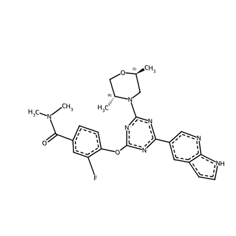 C[C@@H]1CO[C@@H](C)CN1c1nc(Oc2ccc(C(=O)N(C)C)cc2F)nc(-c2cnc3[nH]ccc3c2)n1